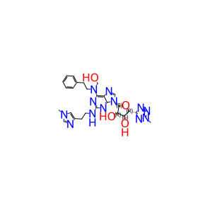 Cn1cnc(CCNc2nc(N(CO)CCc3ccccc3)c3ncn([C@@H]4O[C@H](c5nnn(C)n5)[C@@H](O)[C@H]4O)c3n2)c1